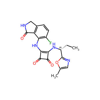 CC[C@@H](Nc1c(Nc2c(F)ccc3c2C(=O)NC3)c(=O)c1=O)c1ncc(C)o1